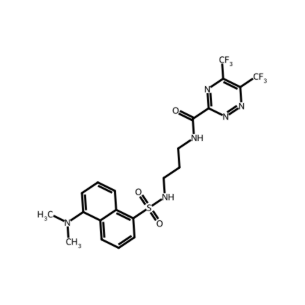 CN(C)c1cccc2c(S(=O)(=O)NCCCNC(=O)c3nnc(C(F)(F)F)c(C(F)(F)F)n3)cccc12